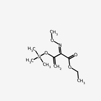 C=C(O[Si](C)(C)C)/C(=N\OC)C(=O)OCC